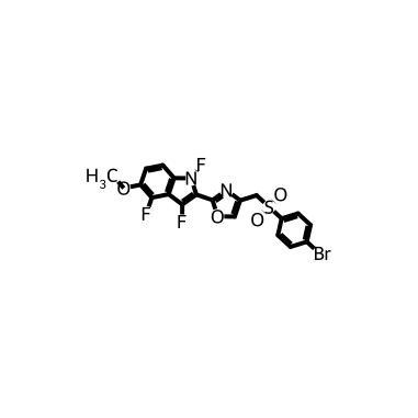 COc1ccc2c(c1F)c(F)c(-c1nc(CS(=O)(=O)c3ccc(Br)cc3)co1)n2F